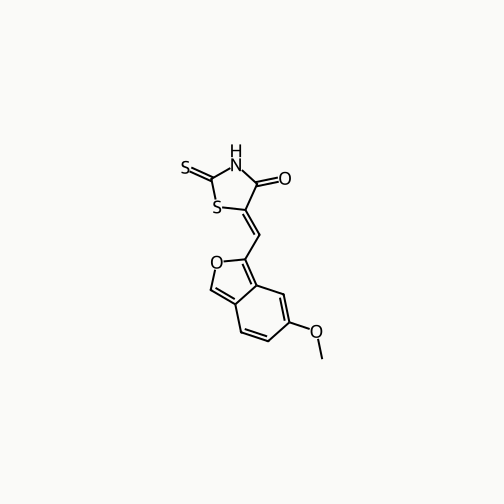 COc1ccc2coc(C=C3SC(=S)NC3=O)c2c1